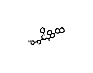 CC(C/C=C(\CNC1C=CCCC1)C1C=NC(C2CCNC2)C1)C1CCC([C@H]2CCC3C=CCCC3C2)C2CCCCC12